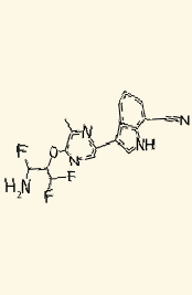 Cc1nc(-c2c[nH]c3c(C#N)cccc23)cnc1OC(C(N)F)C(F)F